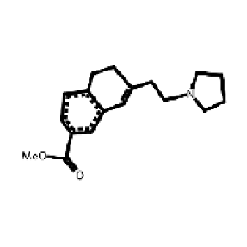 COC(=O)c1ccc2c(c1)C=C(CCN1CCCC1)CC2